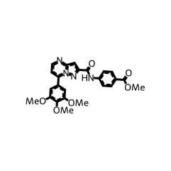 COC(=O)c1ccc(NC(=O)c2cc3nccc(-c4cc(OC)c(OC)c(OC)c4)n3n2)cc1